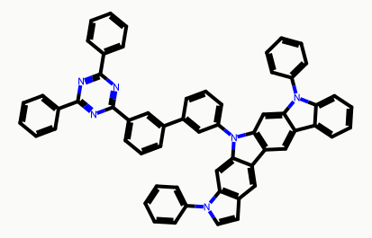 c1ccc(-c2nc(-c3ccccc3)nc(-c3cccc(-c4cccc(-n5c6cc7c(ccn7-c7ccccc7)cc6c6cc7c8ccccc8n(-c8ccccc8)c7cc65)c4)c3)n2)cc1